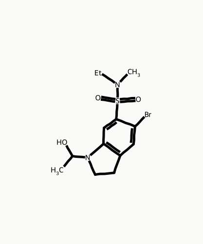 CCN(C)S(=O)(=O)c1cc2c(cc1Br)CCN2C(C)O